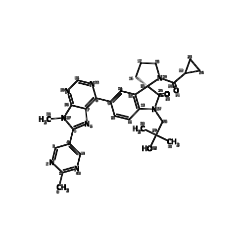 Cc1ncc(-c2nc3c(-c4ccc5c(c4)[C@]4(CCCN4C(=O)C4CC4)C(=O)N5CC(C)(C)O)ncnc3n2C)cn1